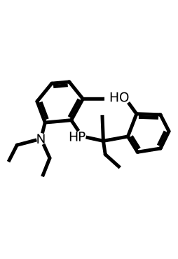 CCN(CC)c1cccc(C)c1PC(C)(CC)c1ccccc1O